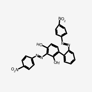 O=[N+]([O-])c1ccc(N=Nc2ccccc2-c2ccc(O)c(N=Nc3ccc([N+](=O)[O-])cc3)c2O)cc1